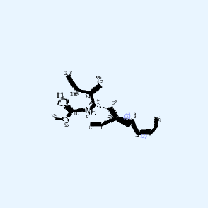 C=C/C(=C\C=C/C)C[C@H](NC(=O)OC)C(=C)CC